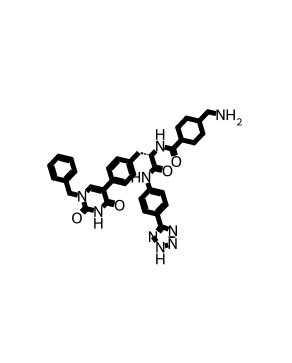 NCC1CCC(C(=O)N[C@@H](Cc2ccc(-c3cn(Cc4ccccc4)c(=O)[nH]c3=O)cc2)C(=O)Nc2ccc(-c3nn[nH]n3)cc2)CC1